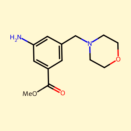 COC(=O)c1cc(N)cc(CN2CCOCC2)c1